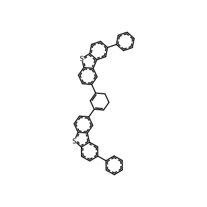 C1=C(c2ccc3sc4ccc(-c5ccccc5)cc4c3c2)C=C(c2ccc3sc4ccc(-c5ccccc5)cc4c3c2)CC1